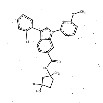 COc1cccc(-n2nc(-c3ccccc3Cl)c3ccc(C(=O)NC4(C)CCS(O)(O)C4)cc32)n1